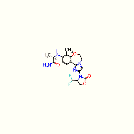 Cc1c(N[C@@H](C)C(N)=O)ccc2c1OCCn1cc(N3C(=O)OCC3C(F)F)nc1-2